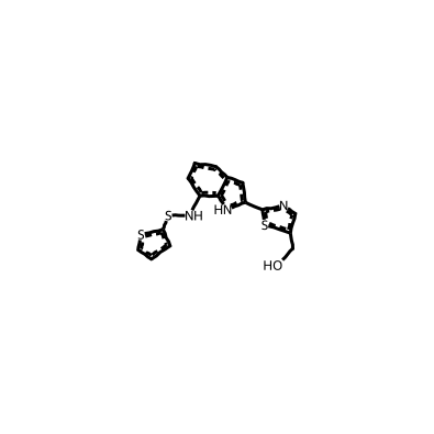 OCc1cnc(-c2cc3cccc(NSc4cccs4)c3[nH]2)s1